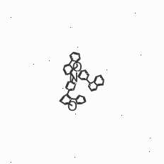 c1cc(-c2cccc3ccccc23)cc(N(c2ccc(-c3cccc4oc5ccccc5c34)cc2)c2cccc3c2oc2ccccc23)c1